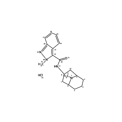 CN1C2CCCC1CC(NC(=O)c1c3ccccc3nn1C)C2.Cl